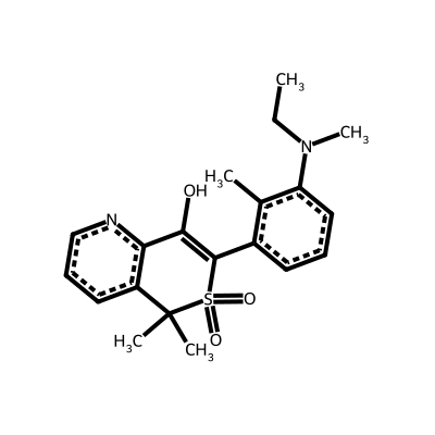 CCN(C)c1cccc(C2=C(O)c3ncccc3C(C)(C)S2(=O)=O)c1C